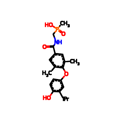 Cc1cc(C(=O)NCP(C)(=O)O)cc(C)c1Oc1ccc(O)c(C(C)C)c1